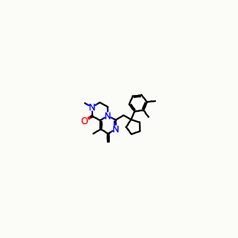 C=C1N=C(CC2(c3cccc(C)c3C)CCCC2)N2CCN(C)C(=O)C2=C1C